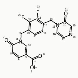 O=C(O)c1ccc(=O)n(Cc2ccc(Cn3ccncc3=O)c(F)c2F)c1